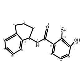 O=C(NC1CCCc2ccccc21)c1cccc(O)c1O